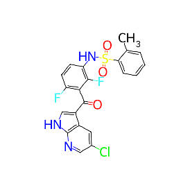 Cc1ccccc1S(=O)(=O)Nc1ccc(F)c(C(=O)c2c[nH]c3ncc(Cl)cc23)c1F